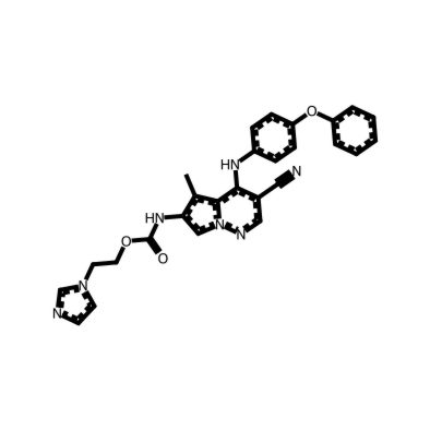 Cc1c(NC(=O)OCCn2ccnc2)cn2ncc(C#N)c(Nc3ccc(Oc4ccccc4)cc3)c12